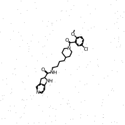 COc1ccc(Cl)cc1C(=O)N1CCC(CCCCNC(=O)C2Cc3cnccc3N2)CC1